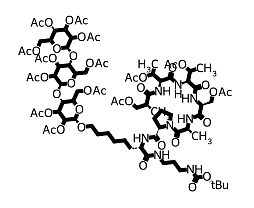 CC(=O)OCC1O[C@@H](OCCCCCC[C@H](NC(=O)[C@@H]2CCCN2C(=O)[C@H](C)NC(=O)[C@H](COC(C)=O)NC(=O)[C@@H](NC(=O)[C@@H](NC(=O)[C@@H](C)COC(C)=O)C(C)OC(C)=O)C(C)OC(C)=O)C(=O)NCCCNC(=O)OC(C)(C)C)C(OC(C)=O)C(OC(C)=O)[C@@H]1O[C@@H]1OC(COC(C)=O)[C@H](O[C@H]2OC(COC(C)=O)[C@H](OC(C)=O)C(OC(C)=O)C2OC(C)=O)C(OC(C)=O)C1OC(C)=O